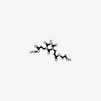 CCCOC(=O)CCn1c(=O)[nH]c(=O)n(CCC(=O)OCCO)c1=O